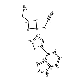 C#CCC1(n2cc(-c3ncnc4[nH]ccc34)cn2)CC(CC#N)C1